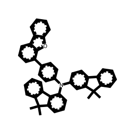 CC1(C)c2ccccc2-c2ccc(N(c3ccc(-c4cccc5c4oc4ccccc45)cc3)c3cccc4c3-c3ccccc3C4(C)C)cc21